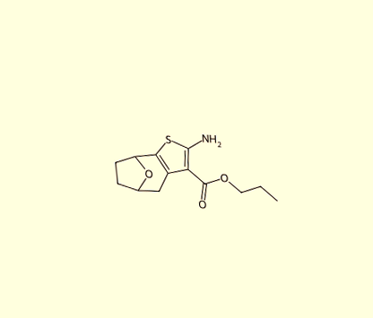 CCCOC(=O)c1c(N)sc2c1CC1CCC2O1